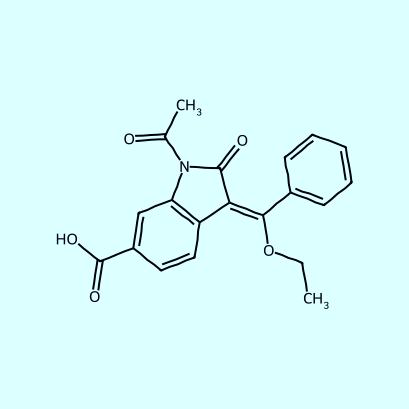 CCO/C(=C1/C(=O)N(C(C)=O)c2cc(C(=O)O)ccc21)c1ccccc1